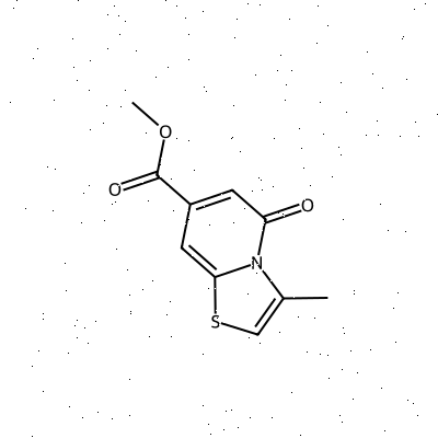 COC(=O)c1cc(=O)n2c(C)csc2c1